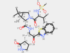 CC(C)C(NS(C)(=O)=O)C(=O)N1CC2[C@@H]([C@H]1C(=O)N[C@@H](C[C@@H]1CCNC1=O)C(=O)c1nc3ccccc3s1)C2(C)C